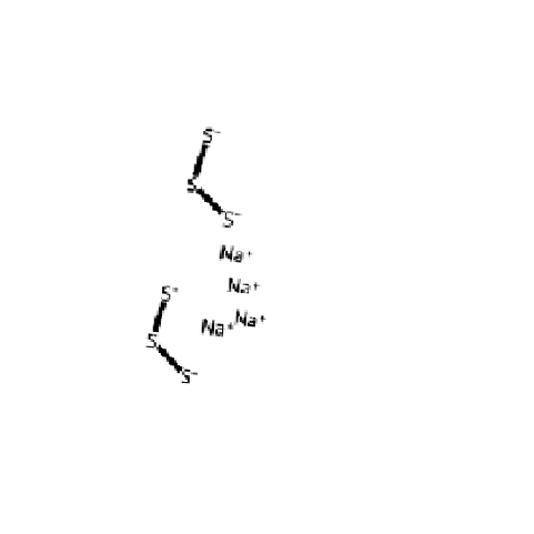 [Na+].[Na+].[Na+].[Na+].[S-]S[S-].[S-]S[S-]